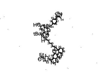 CCC(=O)N1CCN(c2ncnc3c(F)c(-c4c(F)cccc4OCCCCCCC(=O)N[C@H](C(=O)N4C[C@H](O)C[C@H]4C(=O)NCc4ccc(-c5scnc5C)cc4)C(C)(C)C)c(Cl)cc23)CC1